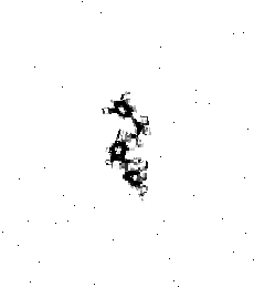 COc1ccc(NC(=O)c2cc(NC(=O)[C@H]3[C@H](c4cc(Cl)cc(Cl)c4)C3(Cl)Cl)ccc2Cl)c(Cl)n1